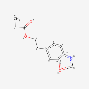 CCC(=O)OCCc1ccc2ncoc2c1